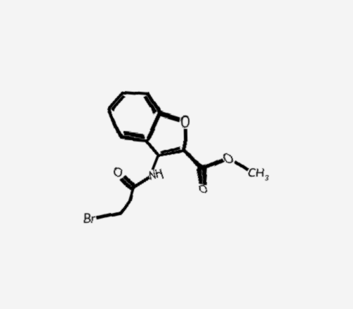 COC(=O)c1oc2ccccc2c1NC(=O)CBr